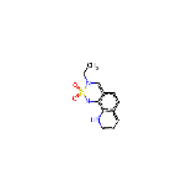 CCN1C=c2ccc3c(c2[N]S1(=O)=O)NC=CC=3